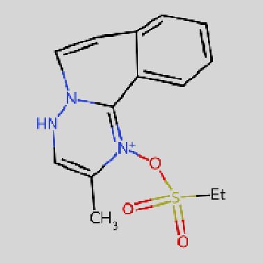 CCS(=O)(=O)O[N+]1=C2c3ccccc3C=CN2NC=C1C